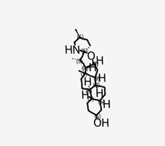 C[C@H]1CC[C@]2(NC1)O[C@H]1C[C@H]3[C@@H]4CC[C@H]5C[C@@H](O)CC[C@@H]5[C@H]4CC[C@]3(C)[C@H]1[C@@H]2C